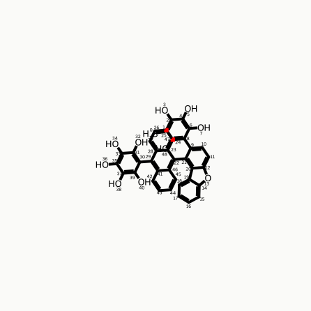 Bc1c(O)c(O)c(O)c(-c2ccc3oc4ccccc4c3c2-c2c3ccccc3c(-c3c(O)c(O)c(O)c(O)c3O)c3ccccc23)c1O